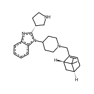 CC1(C)[C@H]2CC=C(CN3CCC(n4c([C@@H]5CCNC5)nc5ccccc54)CC3)[C@H]1C2